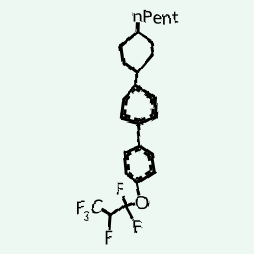 CCCCCC1CCC(c2ccc(-c3ccc(OC(F)(F)C(F)C(F)(F)F)cc3)cc2)CC1